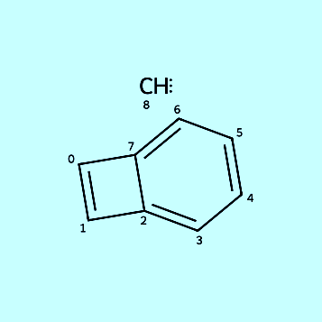 C1=Cc2ccccc21.[CH]